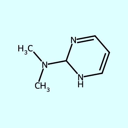 CN(C)C1N=CC=CN1